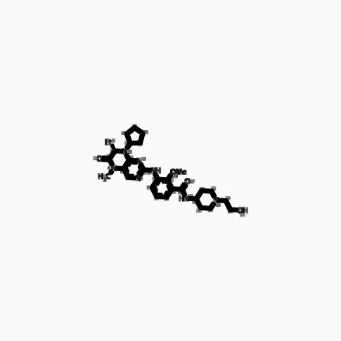 CC[C@@H]1C(=O)N(C)c2cnc(Nc3cccc(C(=O)NC4CCN(CCO)CC4)c3OC)nc2N1C1CCCC1